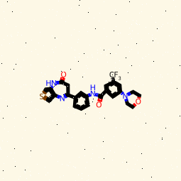 O=C1CC(c2cccc(NC(=O)c3cc(N4CCOCC4)cc(C(F)(F)F)c3)c2)=Nc2cscc2N1